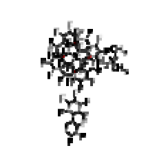 CC[NH2+]C.Fc1c(F)c(F)c2c([B-](c3c(F)c(F)c(F)c4c(F)c(F)c(F)c(F)c34)(c3c(F)c(F)c(F)c4c(F)c(F)c(F)c(F)c34)c3c(F)c(F)c(F)c4c(F)c(F)c(F)c(F)c34)c(F)c(F)c(F)c2c1F.Fc1ccc(-c2c(F)c(F)c(F)c(F)c2F)c(F)c1F